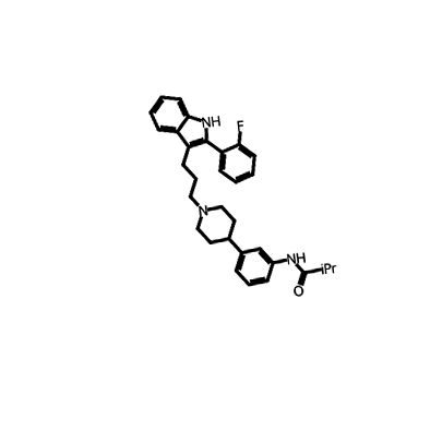 CC(C)C(=O)Nc1cccc(C2CCN(CCCc3c(-c4ccccc4F)[nH]c4ccccc34)CC2)c1